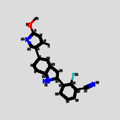 COc1cc(C)c(-c2ccc3[nH]c(-c4cccc(C#N)c4F)cc3c2)cn1